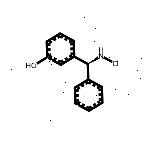 Oc1cccc([C@@H](NCl)c2ccccc2)c1